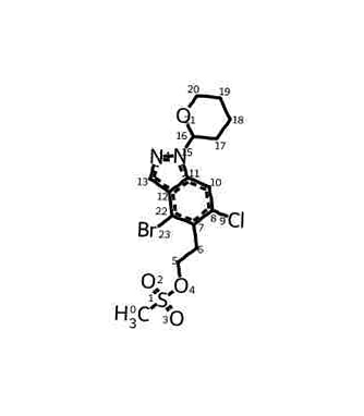 CS(=O)(=O)OCCc1c(Cl)cc2c(cnn2C2CCCCO2)c1Br